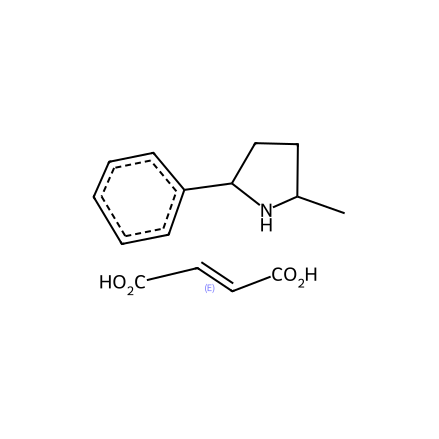 CC1CCC(c2ccccc2)N1.O=C(O)/C=C/C(=O)O